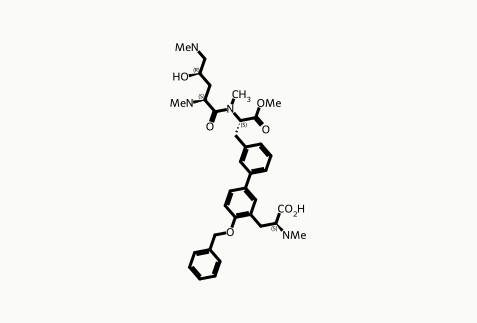 CNC[C@H](O)C[C@H](NC)C(=O)N(C)[C@@H](Cc1cccc(-c2ccc(OCc3ccccc3)c(C[C@H](NC)C(=O)O)c2)c1)C(=O)OC